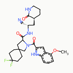 COc1cccc2[nH]c(C(=O)N3CC4(CCC(F)(F)CC4)CC3C(=O)N[C@H](C#N)C[C@@H]3CCCNC3=O)cc12